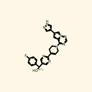 C[C@](O)(c1ccc(F)cc1)c1cnc(C2=CCN(c3ncnn4cc(-c5cn[nH]c5)cc34)CC2)nc1